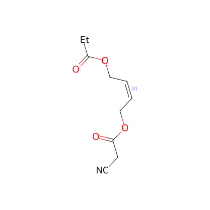 CCC(=O)OC/C=C\COC(=O)CC#N